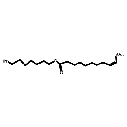 CCCCCCCC/C=C\CCCCCCCC(=O)OCCCCCCCC(C)C